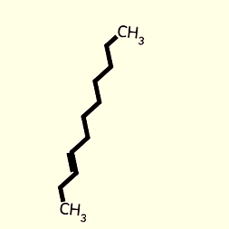 CCC=CCCCCCCC